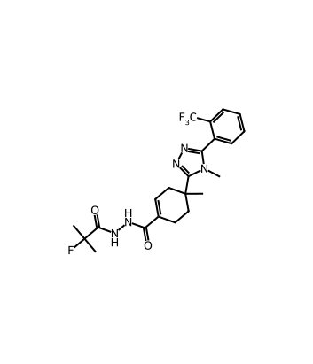 Cn1c(-c2ccccc2C(F)(F)F)nnc1C1(C)CC=C(C(=O)NNC(=O)C(C)(C)F)CC1